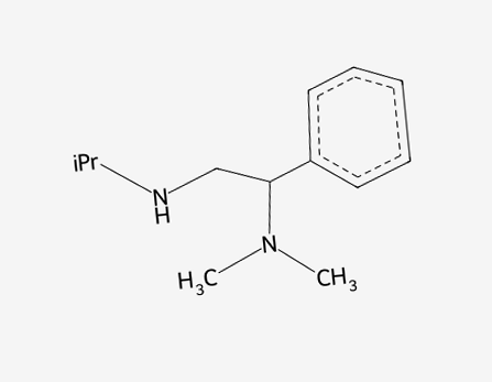 CC(C)NCC(c1ccccc1)N(C)C